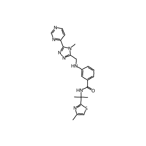 Cc1csc(C(C)(C)NC(=O)c2cccc(NCc3nnc(-c4ccncn4)n3C)c2)n1